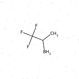 BC(C)C(F)(F)F